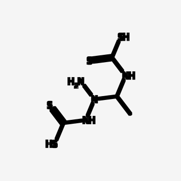 CC(NC(=S)S)N(N)NC(=S)S